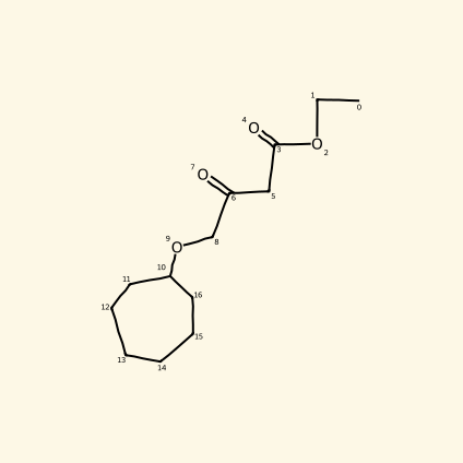 CCOC(=O)CC(=O)COC1CCCCCC1